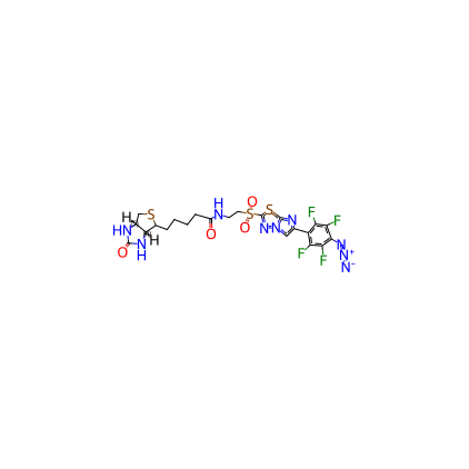 [N-]=[N+]=Nc1c(F)c(F)c(-c2cn3nc(S(=O)(=O)CCNC(=O)CCCCC4SC[C@H]5NC(=O)N[C@@H]45)sc3n2)c(F)c1F